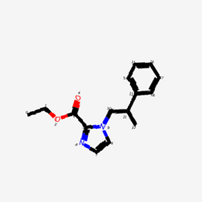 CCOC(=O)c1nccn1CC(C)c1ccccc1